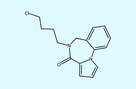 O=C1c2cccn2-c2ccccc2CN1CCCCCl